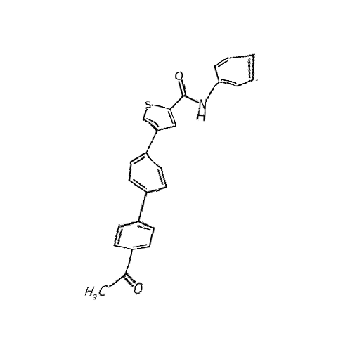 CC(=O)c1ccc(-c2ccc(-c3csc(C(=O)Nc4c[c]ccc4)c3)cc2)cc1